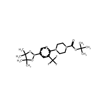 CC(C)(C)OC(=O)N1CCN(c2ncc(B3OC(C)(C)C(C)(C)O3)cc2C(F)(F)F)CC1